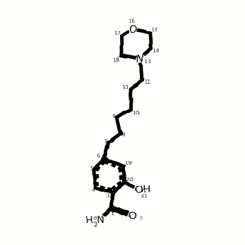 NC(=O)c1ccc(CCCCCCN2CCOCC2)cc1O